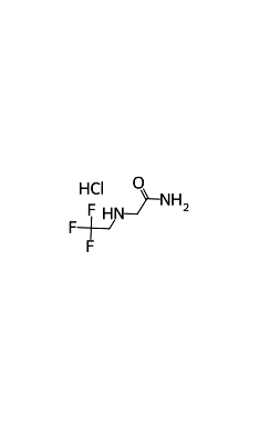 Cl.NC(=O)CNCC(F)(F)F